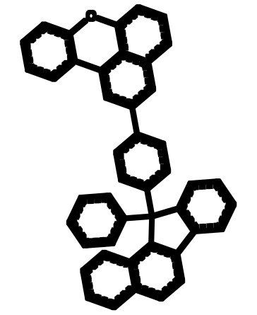 c1ccc(C2(c3ccc(-c4cc5c6c(cccc6c4)Oc4ccccc4-5)cc3)c3ccccc3-c3ccc4ccccc4c32)cc1